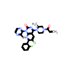 C=CC(=O)N1CCN(c2nc(=O)n(-c3nccnc3C(C)C)c3nc(-c4ccccc4F)c(Cl)cc23)[C@@H](C)C1